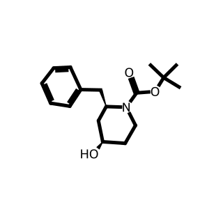 CC(C)(C)OC(=O)N1CC[C@@H](O)C[C@H]1Cc1ccccc1